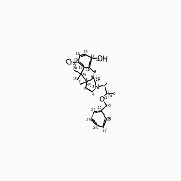 C[C@H](CN1CC[C@@]2(C)[C@H]1Cc1c(O)ccc(Cl)c1C2(C)C)OCc1ccccc1